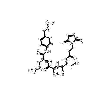 CC(C)C[C@@H](NC(=O)CCN1C(=O)C=CC1=O)C(=O)N[C@@H](C)C(=O)N[C@@H](CCC(=O)O)C(=O)Nc1ccc(COC=O)cc1